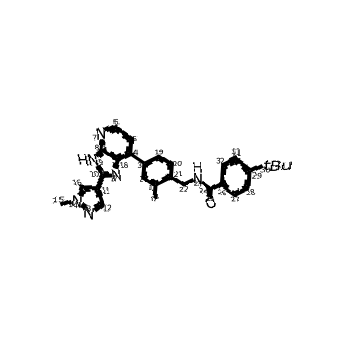 Cc1cc(-c2ccnc3[nH]c(-c4cnn(C)c4)nc23)ccc1CNC(=O)c1ccc(C(C)(C)C)cc1